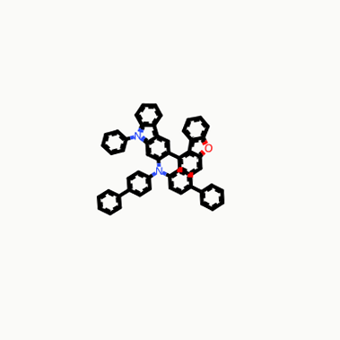 c1ccc(-c2ccc(N(c3ccc(-c4ccccc4)cc3)c3cc4c(cc3-c3cccc5oc6ccccc6c35)c3ccccc3n4-c3ccccc3)cc2)cc1